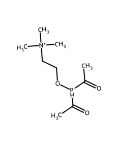 CC(=O)[PH-](OCC[N+](C)(C)C)C(C)=O